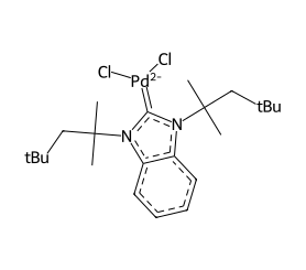 CC(C)(C)CC(C)(C)n1[c](=[Pd-2]([Cl])[Cl])n(C(C)(C)CC(C)(C)C)c2ccccc21